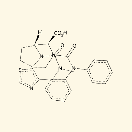 CN(Cc1cscn1)C(=O)N1C2CC[C@@H]1[C@@H](C(=O)O)N(C(=O)N(c1ccccc1)c1ccccc1)C2